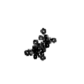 [N-]=[N+]=C(C(=O)C(=[N+]=[N-])C(=O)C(Cc1ccccc1)NC(=O)C(Cc1ccccc1)NC(=O)OCc1ccccc1)C(=O)C(Cc1ccccc1)NC(=O)C(Cc1ccccc1)NC(=O)OCc1ccccc1